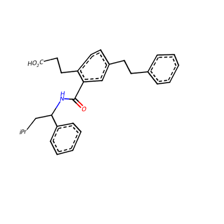 CC(C)CC(NC(=O)c1cc(CCc2ccccc2)ccc1CCC(=O)O)c1ccccc1